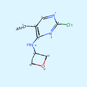 COc1cnc(Cl)nc1NC1COC1